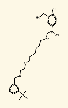 C[N+](C)(C)c1cccc(COCCOCCCCCCNC[C@H](O)c2ccc(O)c(CO)c2)c1